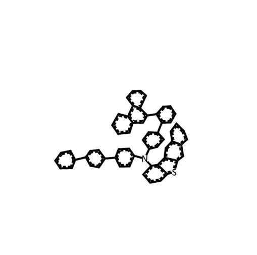 c1ccc(-c2ccc(-c3ccc(N(c4ccc(-c5ccccc5-c5cc6ccccc6c6ccccc56)cc4)c4cccc5sc6cc7ccccc7cc6c45)cc3)cc2)cc1